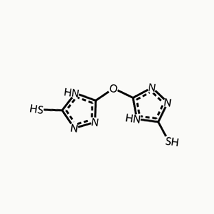 Sc1nnc(Oc2nnc(S)[nH]2)[nH]1